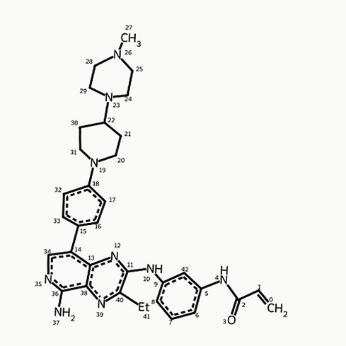 C=CC(=O)Nc1cccc(Nc2nc3c(-c4ccc(N5CCC(N6CCN(C)CC6)CC5)cc4)cnc(N)c3nc2CC)c1